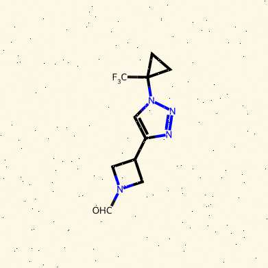 O=CN1CC(c2cn(C3(C(F)(F)F)CC3)nn2)C1